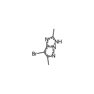 Cc1nc2c(Br)c(C)nn2[nH]1